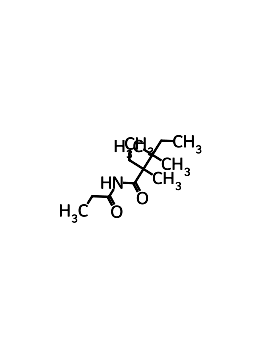 CCC(=O)NC(=O)C(C)(CC)C(C)(C)CC